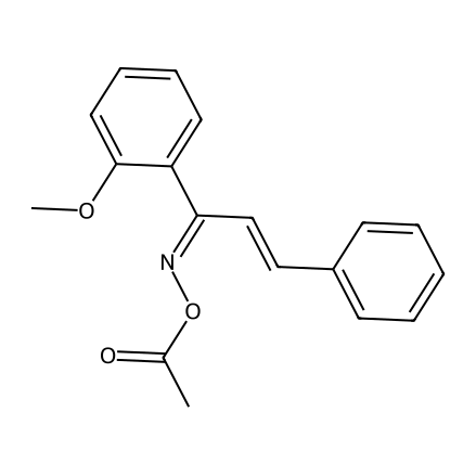 COc1ccccc1C(/C=C/c1ccccc1)=N/OC(C)=O